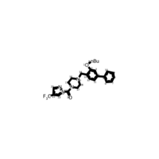 CCCCOc1cc(-c2ccccc2)ccc1CN1CCN(C(=O)n2cc(C(F)(F)F)cn2)CC1